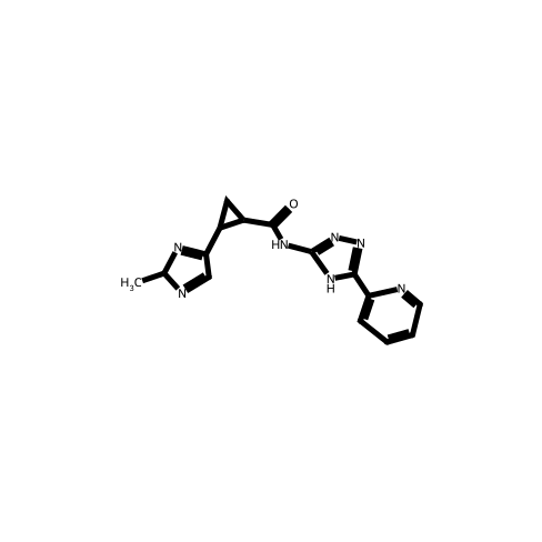 CC1N=CC(C2CC2C(=O)Nc2nnc(-c3ccccn3)[nH]2)=N1